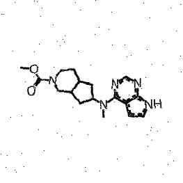 COC(=O)N1CCC2CC(N(C)c3ncnc4[nH]ccc34)CC2C1